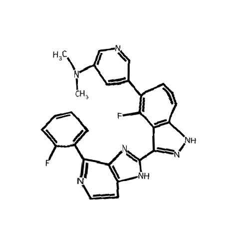 CN(C)c1cncc(-c2ccc3[nH]nc(-c4nc5c(-c6ccccc6F)nccc5[nH]4)c3c2F)c1